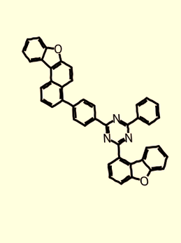 c1ccc(-c2nc(-c3ccc(-c4cccc5c4ccc4oc6ccccc6c45)cc3)nc(-c3cccc4oc5ccccc5c34)n2)cc1